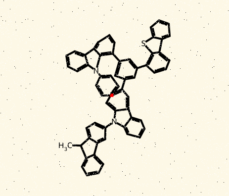 CC1c2ccccc2-c2cc(-n3c4ccccc4c4cc(-c5cc(-c6cccc7c6sc6ccccc67)cc(-c6cccc7c8ccccc8n(-c8ccccc8)c67)c5)ccc43)ccc21